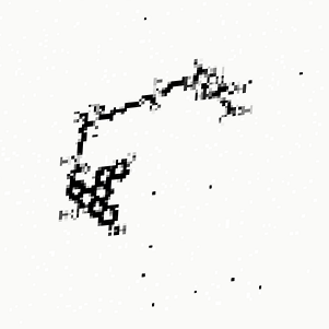 O=C1C=Cc2c3c(ccc2=C1)=C(c1cc(CC(=O)NCCCCC(NC(=O)CCCCCCC(=O)NCCCC[C@H](NC(=O)N[C@@H](CCC(=O)O)C(=O)O)C(=O)O)C(=O)O)ccc1C(=O)O)c1ccc2cc(O)ccc2c1C3